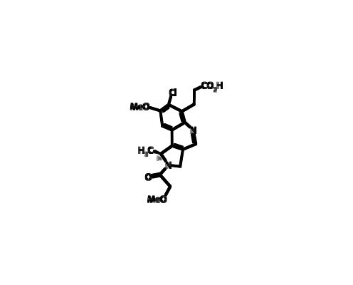 COCC(=O)N1Cc2cnc3c(CCC(=O)O)c(Cl)c(OC)cc3c2[C@@H]1C